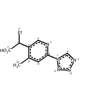 CCC(C(=O)O)c1cnc(-n2cnnn2)cc1C